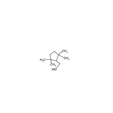 CC1(C)CCC(C)(C)C1CO